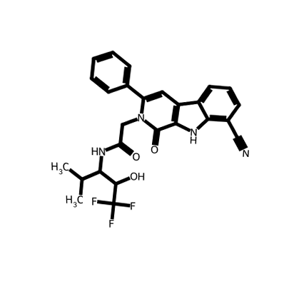 CC(C)C(NC(=O)Cn1c(-c2ccccc2)cc2c([nH]c3c(C#N)cccc32)c1=O)C(O)C(F)(F)F